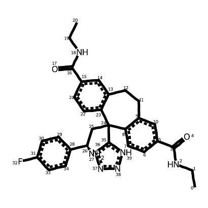 CCNC(=O)c1ccc2c(c1)CCc1cc(C(=O)NCC)ccc1C2(C[C@@H](N)c1ccc(F)cc1)c1nnn[nH]1